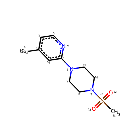 CC(C)(C)c1ccnc(N2CCN(S(C)(=O)=O)CC2)c1